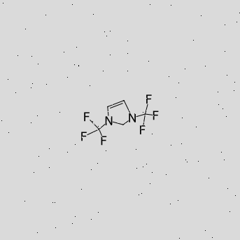 FC(F)(F)N1C=CN(C(F)(F)F)C1